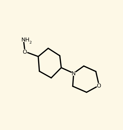 NOC1CCC(N2CCOCC2)CC1